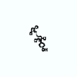 O=C1C=CC(=O)N1CCC1=CC(=O)N(c2ccc(O)cc2)C1=O